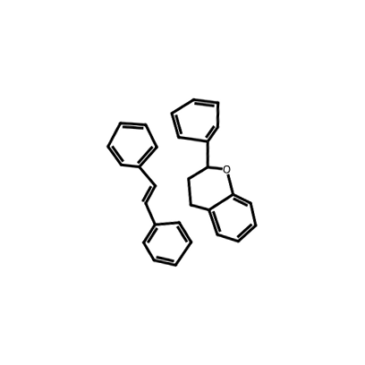 C(=Cc1ccccc1)c1ccccc1.c1ccc(C2CCc3ccccc3O2)cc1